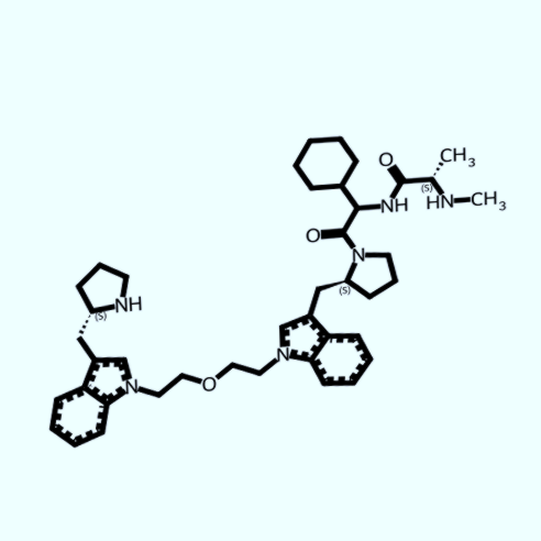 CN[C@@H](C)C(=O)NC(C(=O)N1CCC[C@H]1Cc1cn(CCOCCn2cc(C[C@@H]3CCCN3)c3ccccc32)c2ccccc12)C1CCCCC1